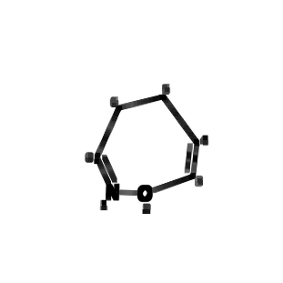 [C]1=NOC=CCC1